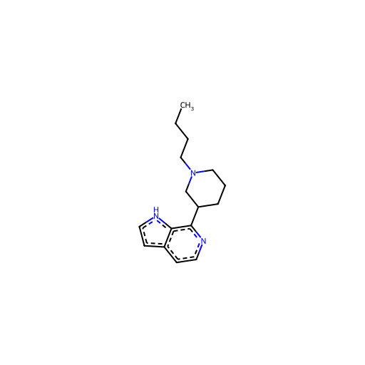 CCCCN1CCCC(c2nccc3cc[nH]c23)C1